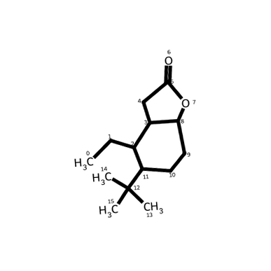 CCC1C2CC(=O)OC2CCC1C(C)(C)C